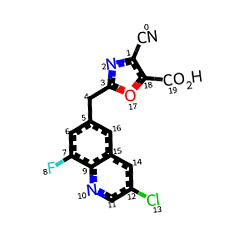 N#Cc1nc(Cc2cc(F)c3ncc(Cl)cc3c2)oc1C(=O)O